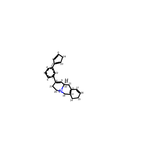 C1=CC(c2cccc(C3=C[C@H]4CC5=C(CCC=C5)CN4CC3)c2)=CC1